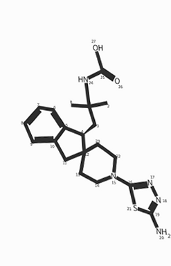 CC(C)(C[C@@H]1c2ccccc2CC12CCN(c1nnc(N)s1)CC2)NC(=O)O